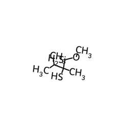 CO[SiH2]C(C)(S)C(C)C